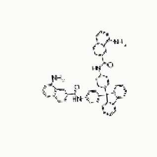 Nc1cccc2ccc(C(=O)Nc3ccc(C4(c5ccc(NC(=O)c6ccc7cccc(N)c7c6)cc5)c5ccccc5-c5ccccc54)cc3)cc12